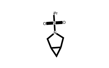 CC(C)S(=O)(=O)N1CC2CC2C1